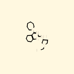 CC(C)CN1CC[C@@H](Nc2nc3c(c(N4CCCCCC4)n2)CCCC3)C1